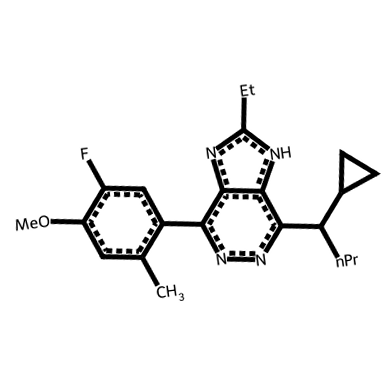 CCCC(c1nnc(-c2cc(F)c(OC)cc2C)c2nc(CC)[nH]c12)C1CC1